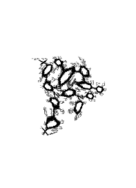 CC(C)(C)c1ccc(-c2ccc(N3c4ccc(-c5ccc(C(C)(C)C)cc5)cc4B4c5cc(-c6ccccc6)cc6c5N(c5ccc(-c7ccccc7)cc5-c5ccccc5-6)c5cc(N(c6ccccc6)c6ccccc6)cc3c54)cc2)cc1